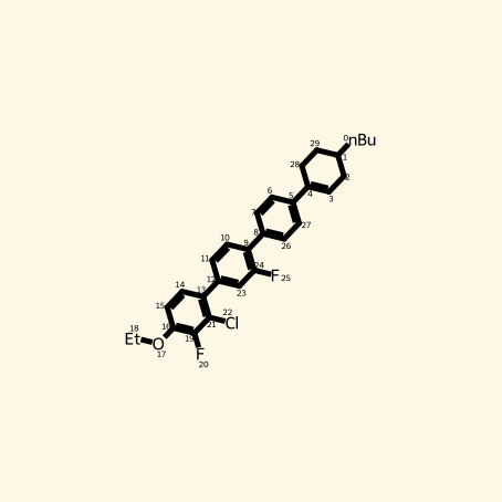 CCCCC1CC=C(c2ccc(-c3ccc(-c4ccc(OCC)c(F)c4Cl)cc3F)cc2)CC1